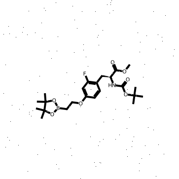 COC(=O)[C@H](Cc1ccc(OCCB2OC(C)(C)C(C)(C)O2)cc1F)NC(=O)OC(C)(C)C